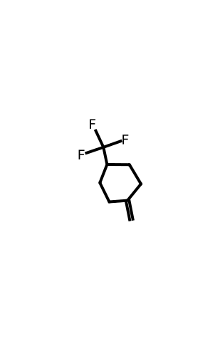 C=C1CCC(C(F)(F)F)CC1